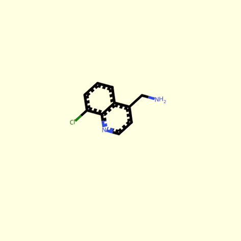 NCc1ccnc2c(Cl)cccc12